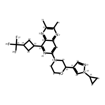 Cc1nc2cc(N3CCOC(c4cnn(C5CC5)c4)C3)nc(C3CC(C(F)(F)F)C3)c2nc1C